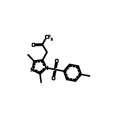 Cc1ccc(S(=O)(=O)n2c(C)nc(C)c2CC(=O)C(F)(F)F)cc1